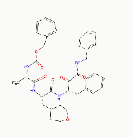 CC(NC(=O)OCc1ccccc1)C(=O)N[C@@H](CC1CCOCC1)C(=O)N[C@@H](Cc1ccccc1)C(=O)C(=O)NCc1ccccc1